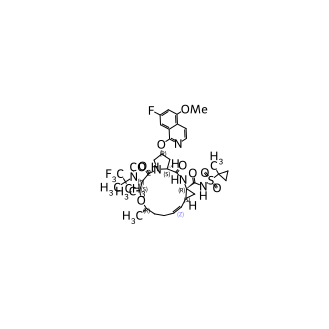 COc1cc(F)cc2c(O[C@@H]3C[C@H]4C(=O)N[C@]5(C(=O)NS(=O)(=O)C6(C)CC6)C[C@H]5/C=C\CC[C@@H](C)O[C@@H](C)[C@H](N(C(=O)O)C(C)(C)C(F)(F)F)C(=O)N4C3)nccc12